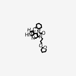 C[C@@H]1CCCC[C@@H]1n1c(=O)n(CCCOC2CCCCO2)c2cnc3[nH]ccc3c21